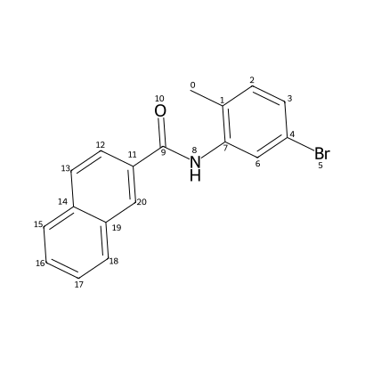 Cc1ccc(Br)cc1NC(=O)c1ccc2ccccc2c1